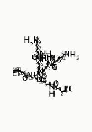 CC/C=C\CCC(=O)NCCCCN(CCCNC(=O)CC/C=C\CC)C(=O)CN(CCCNC(=O)[C@@H](N)CCCCN)CCCNC(=O)[C@@H](N)CCCCN